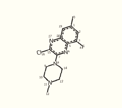 Cc1cc(F)c2nc(N3CCN(C)CC3)c(Cl)nc2c1